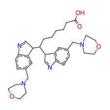 O=C(O)CCCCCC(C1C=Nc2ccc(CN3CCOCC3)cc21)C1C=Nc2ccc(CN3CCOCC3)cc21